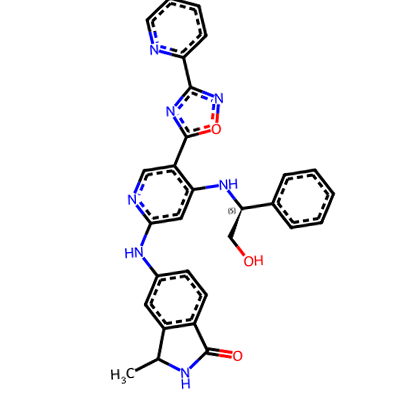 CC1NC(=O)c2ccc(Nc3cc(N[C@H](CO)c4ccccc4)c(-c4nc(-c5ccccn5)no4)cn3)cc21